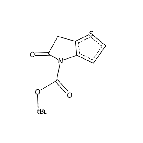 CC(C)(C)OC(=O)N1C(=O)Cc2sccc21